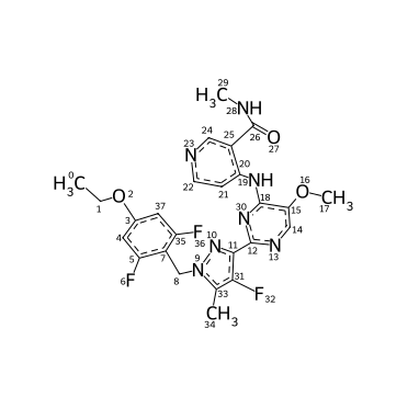 CCOc1cc(F)c(Cn2nc(-c3ncc(OC)c(Nc4ccncc4C(=O)NC)n3)c(F)c2C)c(F)c1